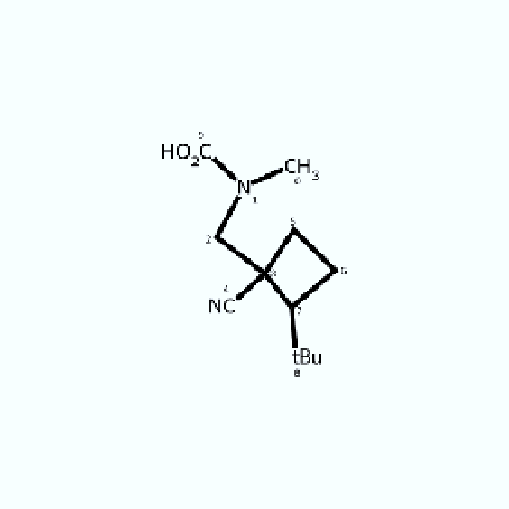 CN(CC1(C#N)CCC1C(C)(C)C)C(=O)O